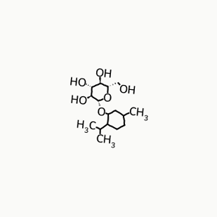 CC1CCC(C(C)C)C(O[C@H]2O[C@@H](CO)[C@H](O)[C@@H](O)[C@@H]2O)C1